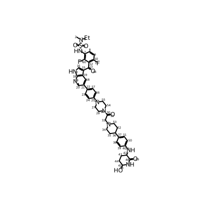 CCN(C)S(=O)(=O)Nc1ccc(F)c(C(=O)c2c[nH]c3ncc(-c4ccc(N5CCN(C(=O)CN6CCC(c7ccc(NC8CCC(O)NC8=O)cc7)CC6)CC5)cc4)cc23)c1F